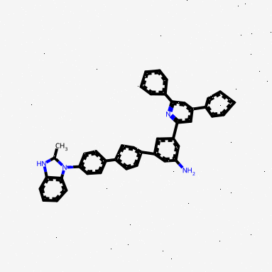 CC1Nc2ccccc2N1c1ccc(-c2ccc(-c3cc(N)cc(-c4cc(-c5ccccc5)cc(-c5ccccc5)n4)c3)cc2)cc1